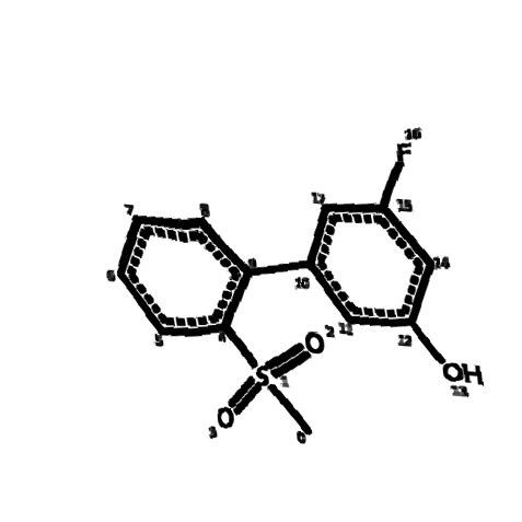 CS(=O)(=O)c1ccccc1-c1cc(O)cc(F)c1